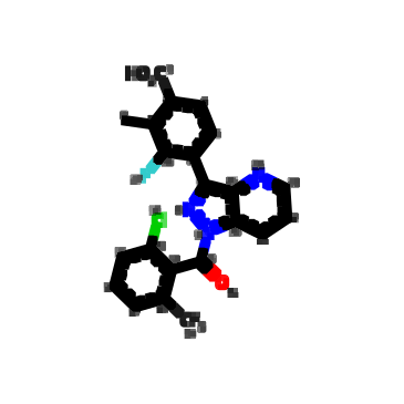 Cc1c(C(=O)O)ccc(-c2nn(C(=O)c3c(Cl)cccc3C(F)(F)F)c3cccnc23)c1F